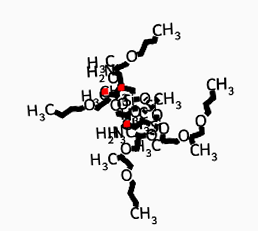 CCCCOCC(C)OCC(C)O[Si](CCCN)(OC(C)COC(C)COCCCC)O[Si](C)(C)O[Si](CCCN)(OC(C)COC(C)COCCCC)OC(C)COC(C)COCCCC